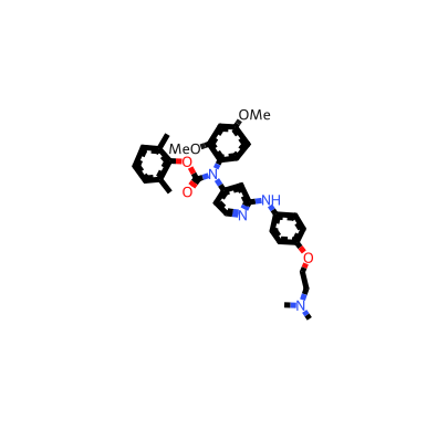 COc1ccc(N(C(=O)Oc2c(C)cccc2C)c2ccnc(Nc3ccc(OCCN(C)C)cc3)c2)c(OC)c1